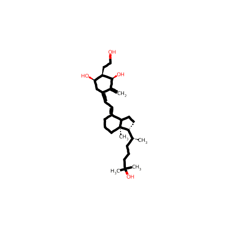 C=C1/C(=C\C=C2CCC[C@@]3(C)C2CC[C@@H]3[C@H](C)CCCC(C)(C)O)C[C@@H](O)[C@@H](CCO)[C@H]1O